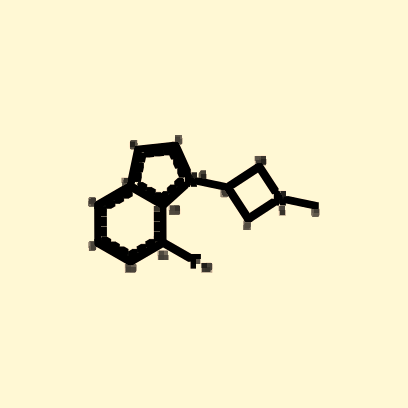 CN1CC(n2ccc3cccc(F)c32)C1